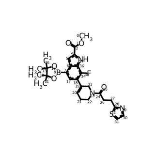 COC(=O)c1cc2c(B3OC(C)(C)C(C)(C)O3)cc(C3=CCCN(C(=O)CCc4nccs4)C3)c(F)c2[nH]1